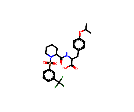 CC(C)Oc1ccc(CC(NC(=O)C2CCCCN2S(=O)(=O)c2cccc(C(F)(F)F)c2)C(=O)O)cc1